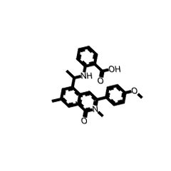 COc1ccc(-c2cc3c(C(C)Nc4ccccc4C(=O)O)cc(C)cc3c(=O)n2C)cc1